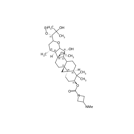 CCO[C@@H](C1C[C@@H](C)[C@H]2C(O1)[C@H](O)[C@@]1(C)C3CC[C@H]4C(C)(C)[C@@H](OC(=O)N5CC(NC)C5)CC[C@@]45C[C@@]35CC[C@]21C)C(C)(C)O